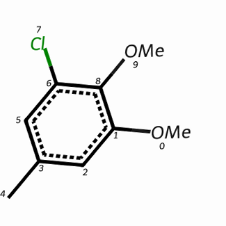 COc1cc(C)cc(Cl)c1OC